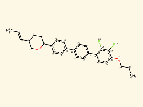 C/C=C/C1CCC(c2ccc(-c3ccc(-c4ccc(OCCC)c(F)c4F)cc3)cc2)OC1